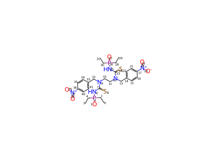 CCP(=O)(CC)NC(=S)N(CCN(Cc1ccc([N+](=O)[O-])cc1)C(=S)NP(=O)(CC)CC)Cc1ccc([N+](=O)[O-])cc1